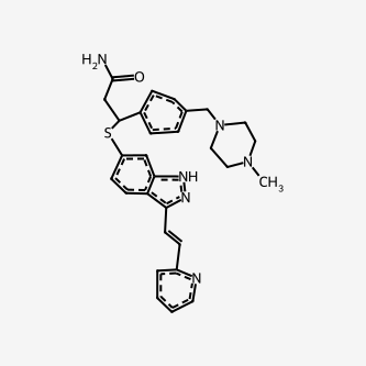 CN1CCN(Cc2ccc(C(CC(N)=O)Sc3ccc4c(C=Cc5ccccn5)n[nH]c4c3)cc2)CC1